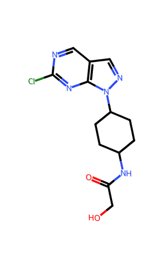 O=C(CO)NC1CCC(n2ncc3cnc(Cl)nc32)CC1